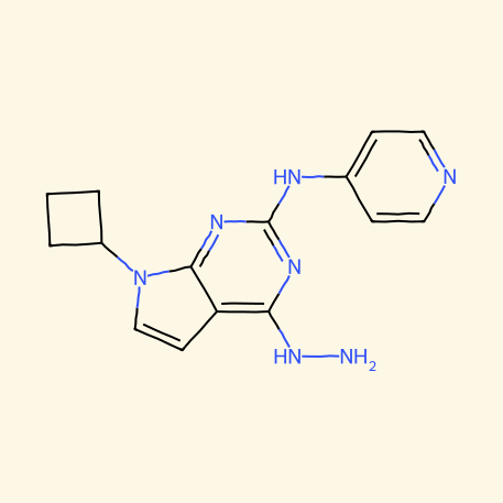 NNc1nc(Nc2ccncc2)nc2c1ccn2C1CCC1